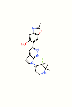 Cc1nc2cc(O)c(-c3cc4ccn([C@@H]5CCNC(C)(C)[C@@H]5F)c4nn3)cc2o1